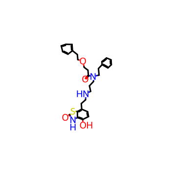 O=C(CCOCCc1ccccc1)N(CCCNCCc1ccc(O)c2[nH]c(=O)sc12)CCc1ccccc1